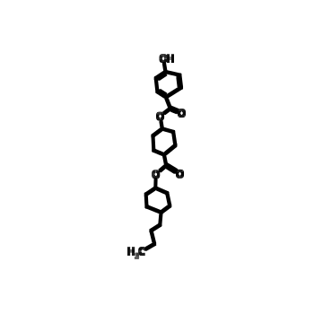 CCCCC1CCC(OC(=O)C2CCC(OC(=O)c3ccc(O)cc3)CC2)CC1